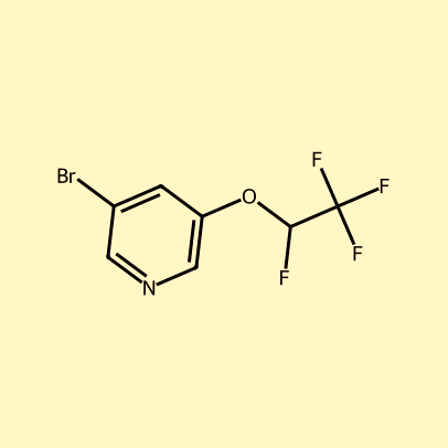 FC(Oc1cncc(Br)c1)C(F)(F)F